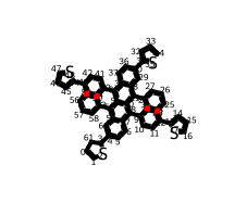 C1=CSC(c2ccc3c(-c4ccc(-c5cccs5)cc4)c4c(-c5ccccc5)c5cc(-c6cccs6)ccc5c(-c5ccc(-c6cccs6)cc5)c4c(-c4ccccc4)c3c2)C1